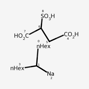 CCCCCC[CH]([Na])CCCCCC.O=C(O)CC(C(=O)O)S(=O)(=O)O